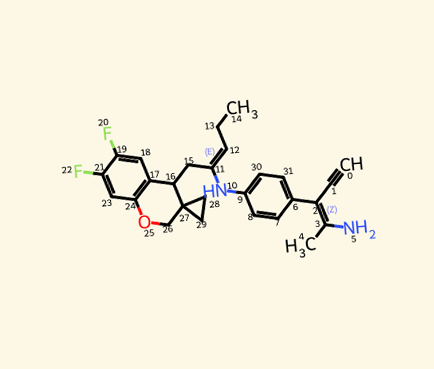 C#C/C(=C(/C)N)c1ccc(N/C(=C/CC)CC2c3cc(F)c(F)cc3OCC23CC3)cc1